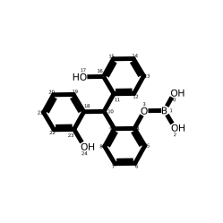 OB(O)Oc1ccccc1C(c1ccccc1O)c1ccccc1O